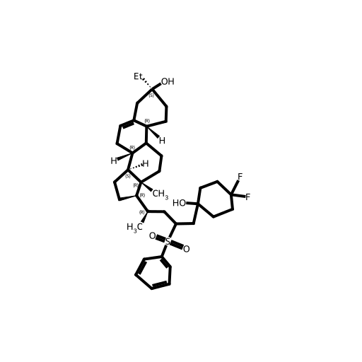 CC[C@]1(O)CC[C@H]2C(=CC[C@@H]3C2CC[C@]2(C)[C@@H]([C@H](C)CC(CC4(O)CCC(F)(F)CC4)S(=O)(=O)c4ccccc4)CC[C@@H]32)C1